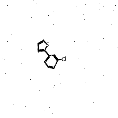 Clc1cccc(-c2cc[c]s2)c1